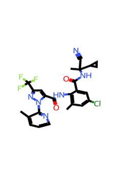 Cc1cccnc1-n1nc(C(F)(F)F)cc1C(=O)Nc1c(C)cc(Cl)cc1C(=O)NC(C)(C#N)C1CC1